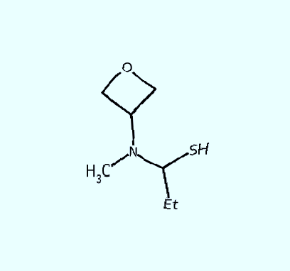 CCC(S)N(C)C1COC1